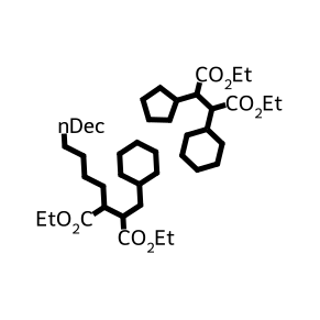 CCCCCCCCCCCCCCC(C(=O)OCC)C(CC1CCCCC1)C(=O)OCC.CCOC(=O)C(C1CCCCC1)C(C(=O)OCC)C1CCCC1